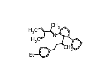 C=CC(=C\C)/C(C)=N/c1cccc(-c2ccccc2)c1C(=C)CCc1ccc(CC)cc1